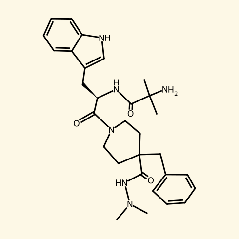 CN(C)NC(=O)C1(Cc2ccccc2)CCN(C(=O)[C@@H](Cc2c[nH]c3ccccc23)NC(=O)C(C)(C)N)CC1